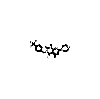 CCN(C)c1nc(N2CCOCC2)cc(C)c1C(=O)NCc1ccc(C(F)(F)F)cc1